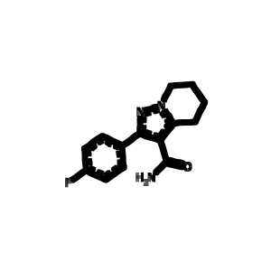 NC(=O)c1c(-c2ccc(F)cc2)nn2c1CCCC2